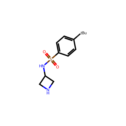 CC(C)(C)c1ccc(S(=O)(=O)NC2CNC2)cc1